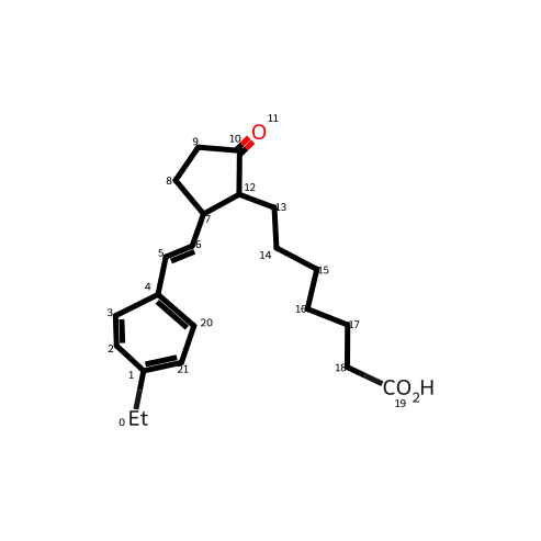 CCc1ccc(C=CC2CCC(=O)C2CCCCCCC(=O)O)cc1